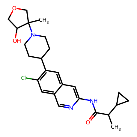 CC(C(=O)Nc1cc2cc(C3CCN(C4(C)COCC4O)CC3)c(Cl)cc2cn1)C1CC1